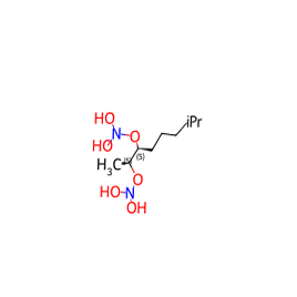 CC(C)CCC[C@H](ON(O)O)[C@H](C)ON(O)O